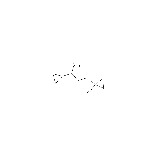 CC(C)C1(CCC(N)C2CC2)CC1